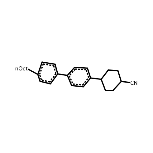 CCCCCCCCc1ccc(-c2ccc(C3CCC(C#N)CC3)cc2)cc1